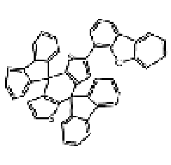 c1ccc2c(c1)-c1ccccc1C21c2cc(-c3cccc4c3oc3ccccc34)sc2C2(c3ccccc3-c3ccccc32)c2ccsc21